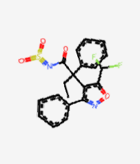 CCC(C(=O)N=S(=O)=O)(c1ccccc1)c1c(-c2ccccc2)noc1C(F)F